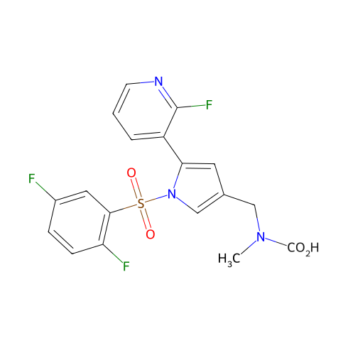 CN(Cc1cc(-c2cccnc2F)n(S(=O)(=O)c2cc(F)ccc2F)c1)C(=O)O